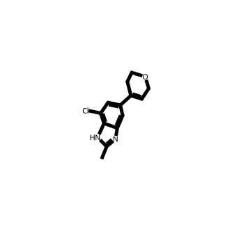 Cc1nc2cc(C3=CCOCC3)cc(Cl)c2[nH]1